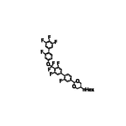 CCCCCCC1COC(c2ccc(-c3cc(F)c(C(F)(F)Oc4ccc(-c5cc(F)c(F)c(F)c5)c(F)c4)c(F)c3)c(F)c2)OC1